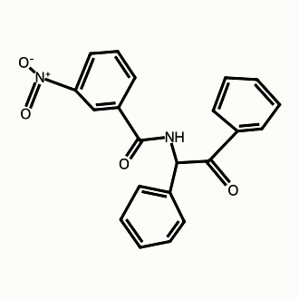 O=C(NC(C(=O)c1ccccc1)c1ccccc1)c1cccc([N+](=O)[O-])c1